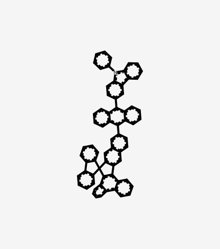 c1ccc(-n2c3ccccc3c3cc(-c4c5ccccc5c(-c5ccc6cc7c(cc6c5)C5(c6ccccc6-c6ccccc65)c5c-7c6ccccc6c6ccccc56)c5ccccc45)ccc32)cc1